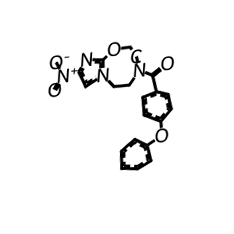 O=C(c1ccc(Oc2ccccc2)cc1)N1CCOc2nc([N+](=O)[O-])cn2CC1